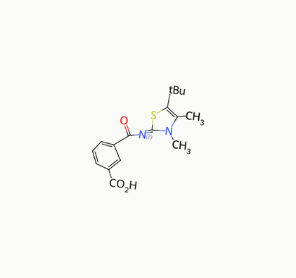 Cc1c(C(C)(C)C)s/c(=N\C(=O)c2cccc(C(=O)O)c2)n1C